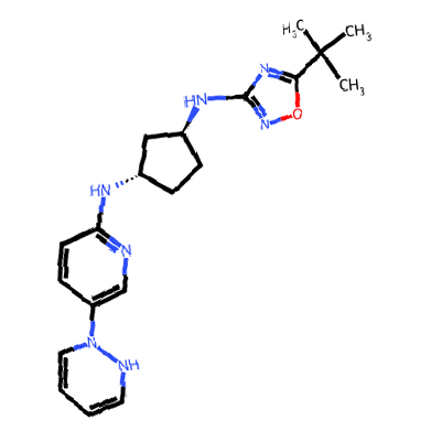 CC(C)(C)c1nc(N[C@H]2CC[C@H](Nc3ccc(N4C=CC=CN4)cn3)C2)no1